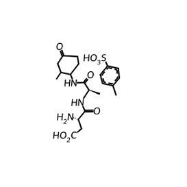 CC1CC(=O)CCC1NC(=O)[C@@H](C)NC(=O)[C@@H](N)CC(=O)O.Cc1ccc(S(=O)(=O)O)cc1